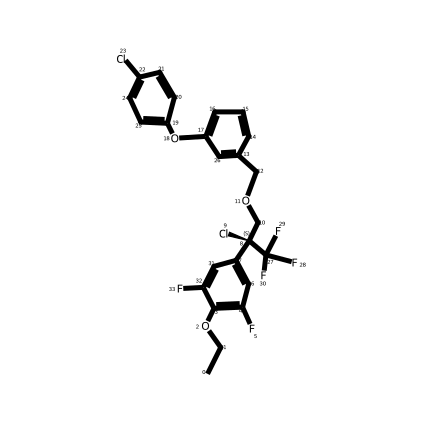 CCOc1c(F)cc([C@](Cl)(COCc2cccc(Oc3ccc(Cl)cc3)c2)C(F)(F)F)cc1F